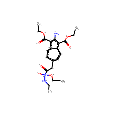 CCN[N+]([O-])(OCC)C(=O)Cc1ccc2c(C(=O)OCC)c(N)c(C(=O)OCC)c-2cc1